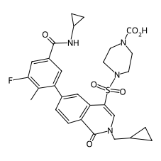 Cc1c(F)cc(C(=O)NC2CC2)cc1-c1ccc2c(=O)n(CC3CC3)cc(S(=O)(=O)N3CCN(C(=O)O)CC3)c2c1